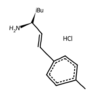 CC[C@H](C)[C@H](N)/C=C/c1ccc(C)cc1.Cl